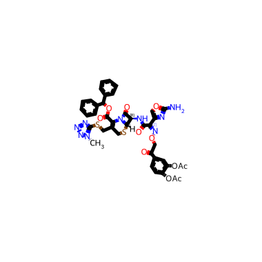 CC(=O)Oc1ccc(C(=O)CO/N=C(\C(=O)N[C@@H]2C(=O)N3C(C(=O)OC(c4ccccc4)c4ccccc4)=C(CSc4nnnn4C)CS[C@H]23)c2coc(N)n2)cc1OC(C)=O